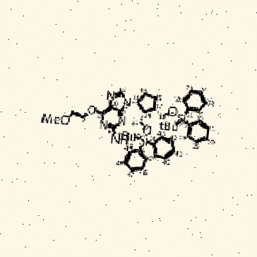 COCCOc1nc(N)nc2c1ncn2[C@@H]1CC[C@H](CO[Si](c2ccccc2)(c2ccccc2)C(C)(C)C)[C@@H]1CO[Si](c1ccccc1)(c1ccccc1)C(C)(C)C